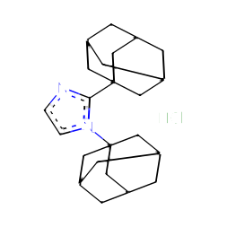 Cl.c1cn(C23CC4CC(CC(C4)C2)C3)c(C23CC4CC(CC(C4)C2)C3)n1